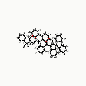 CC1(C)c2ccccc2-c2ccc(N(c3ccccc3-c3ccccc3)c3ccccc3-c3cccc4c3-c3ccccc3C43c4ccccc4-c4ccccc43)cc21